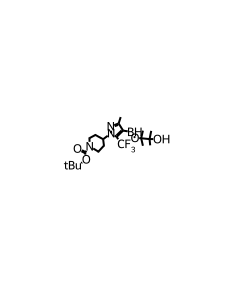 Cc1nn(C2CCN(C(=O)OC(C)(C)C)CC2)c(C(F)(F)F)c1BOC(C)(C)C(C)(C)O